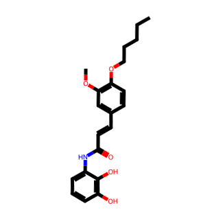 CCCCCOc1ccc(C=CC(=O)Nc2cccc(O)c2O)cc1OC